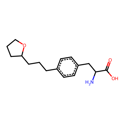 NC(Cc1ccc(CCCC2CCCO2)cc1)C(=O)O